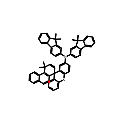 CC1(C)c2ccccc2-c2ccc(N(c3ccc4c(c3)C(C)(C)c3ccccc3-4)c3ccc4c(c3)C3(c5ccccc5S4)c4ccccc4C(C)(C)c4c3ccc3ccccc43)cc21